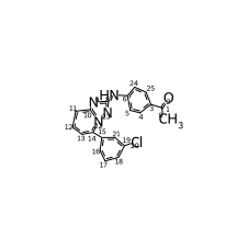 CC(=O)c1ccc(Nc2nc3cccc(-c4cccc(Cl)c4)n3n2)cc1